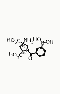 N[C@@]1(C(=O)O)C[C@H](C(=O)O)N(C(=O)c2cccc(B(O)O)c2)C1